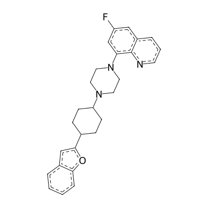 Fc1cc(N2CCN(C3CCC(c4cc5ccccc5o4)CC3)CC2)c2ncccc2c1